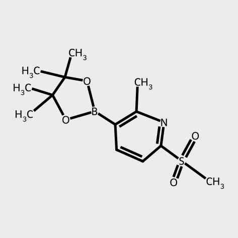 Cc1nc(S(C)(=O)=O)ccc1B1OC(C)(C)C(C)(C)O1